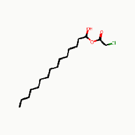 CCCCCCCCCCCCCCC(O)OC(=O)CCl